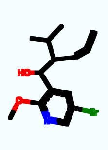 C=C=CC(C(C)C)C(O)c1cc(Br)cnc1OC